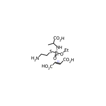 CCO[P@](=O)(NC(C)C(=O)O)SCCN.O=C(O)/C=C/C(=O)O